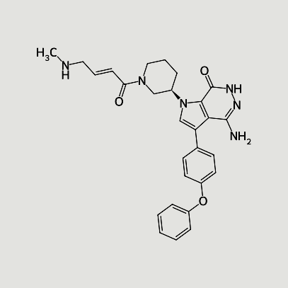 CNCC=CC(=O)N1CCC[C@@H](n2cc(-c3ccc(Oc4ccccc4)cc3)c3c(N)n[nH]c(=O)c32)C1